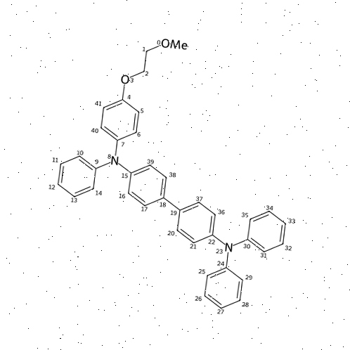 COCCOc1ccc(N(c2ccccc2)c2ccc(-c3ccc(N(c4ccccc4)c4ccccc4)cc3)cc2)cc1